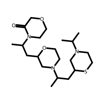 CC(C)N1CCSC(CC(C)N2CCOC(CC(C)N3CCOCC3=O)C2)C1